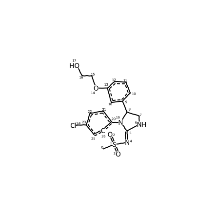 CS(=O)(=O)N=C1NCC(c2cccc(OCCO)c2)N1c1ccc(Cl)cc1